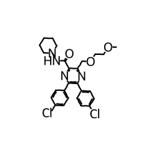 COCCOCc1nc(-c2ccc(Cl)cc2)c(-c2ccc(Cl)cc2)nc1C(=O)NN1CCCCC1